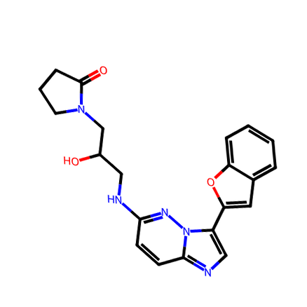 O=C1CCCN1CC(O)CNc1ccc2ncc(-c3cc4ccccc4o3)n2n1